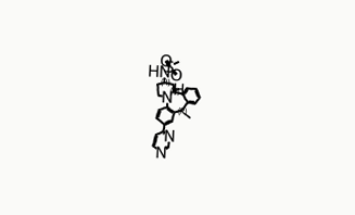 C[C@@H]1c2ccccc2[C@H]2C[C@H](NS(C)(=O)=O)CCN2c2ccc(-c3ccncn3)cc21